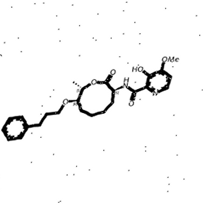 COc1ccnc(C(=O)N[C@H]2CCCC[C@@H](OCCCc3ccccc3)[C@H](C)OC2=O)c1O